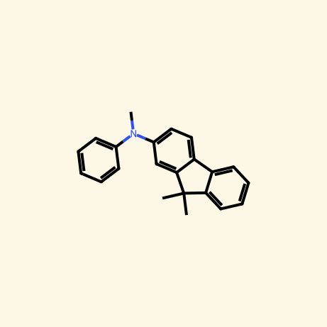 CN(c1ccccc1)c1ccc2c(c1)C(C)(C)c1ccccc1-2